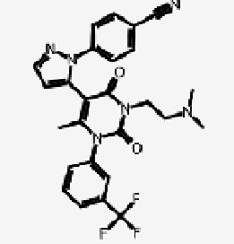 Cc1c(-c2ccnn2-c2ccc(C#N)cc2)c(=O)n(CCN(C)C)c(=O)n1-c1cccc(C(F)(F)F)c1